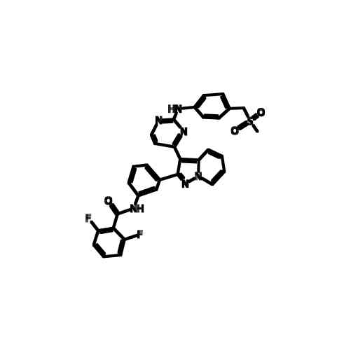 CS(=O)(=O)Cc1ccc(Nc2nccc(-c3c(-c4cccc(NC(=O)c5c(F)cccc5F)c4)nn4ccccc34)n2)cc1